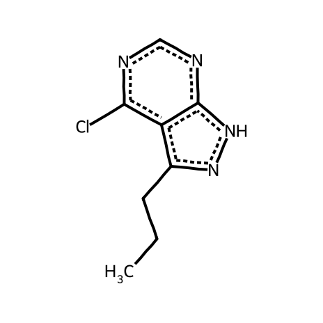 CCCc1n[nH]c2ncnc(Cl)c12